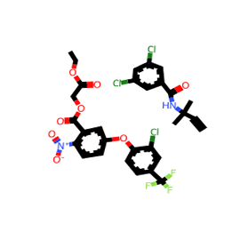 C#CC(C)(C)NC(=O)c1cc(Cl)cc(Cl)c1.CCOC(=O)COC(=O)c1cc(Oc2ccc(C(F)(F)F)cc2Cl)ccc1[N+](=O)[O-]